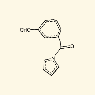 O=Cc1cccc(C(=O)n2cccc2)c1